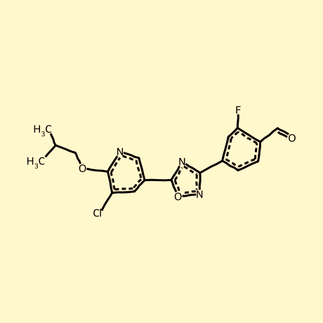 CC(C)COc1ncc(-c2nc(-c3ccc(C=O)c(F)c3)no2)cc1Cl